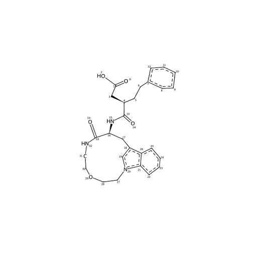 O=C(O)C[C@@H](CCc1ccccc1)C(=O)N[C@H]1Cc2cn(c3ccccc23)CCOCCNC1=O